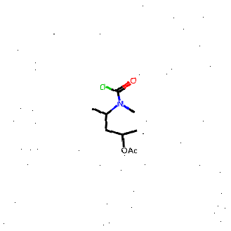 CC(=O)OC(C)CC(C)N(C)C(=O)Cl